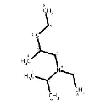 CCSC(C)CN(CC)C(C)C